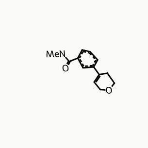 CNC(=O)c1cccc(C2=CCOCC2)c1